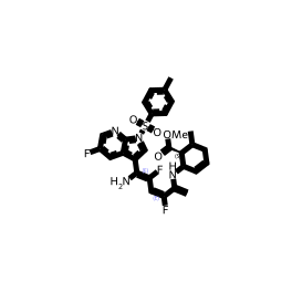 C=C(NC1C=CCC(C)[C@@H]1C(=O)OC)/C(F)=C\C(F)=C(/N)c1cn(S(=O)(=O)c2ccc(C)cc2)c2ncc(F)cc12